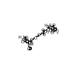 CC(C(=O)c1cccc(Cl)c1)N(C(=O)OCOC(=O)C(=O)CCOCCOCCOC(=O)c1cc(S(N)(=O)=O)c(Cl)cc1NCc1ccco1)C(C)(C)C